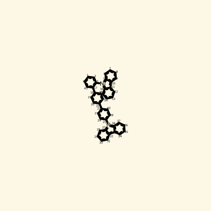 c1ccc(-n2c3ccccc3c3ccccc32)c(-c2ccc(-c3ccc(-n4c5ccccc5c5ccccc54)cc3)cc2)c1